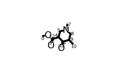 COC(=O)C1CN(C)CC(C)C1=O